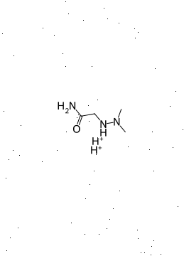 CN(C)NCC(N)=O.[H+].[H+]